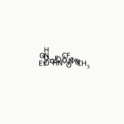 CCOc1cc(=O)[nH]cc1-c1ccc(CC(=O)Nc2cc(C(=O)N3CCC4(CCN(C)C4)C3)cc(C(F)(F)F)c2)c(F)c1